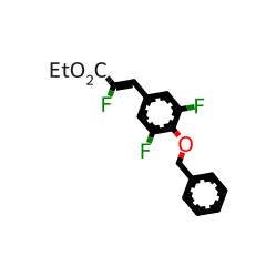 CCOC(=O)/C(F)=C/c1cc(F)c(OCc2ccccc2)c(F)c1